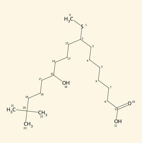 CSC(CCCCCCC(=O)O)CCCC(O)CCCC(C)(C)C